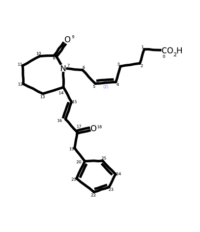 O=C(O)CCC/C=C\CN1C(=O)CCCCC1C=CC(=O)Cc1ccccc1